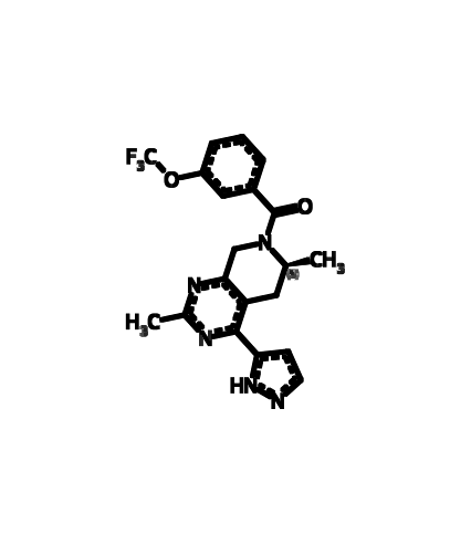 Cc1nc2c(c(-c3ccn[nH]3)n1)C[C@H](C)N(C(=O)c1cccc(OC(F)(F)F)c1)C2